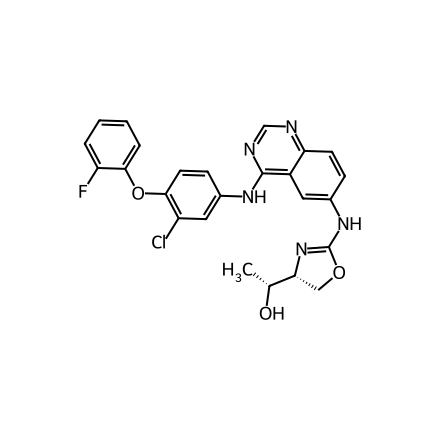 C[C@@H](O)[C@H]1COC(Nc2ccc3ncnc(Nc4ccc(Oc5ccccc5F)c(Cl)c4)c3c2)=N1